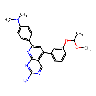 COC(C)Oc1cccc(-c2cc(-c3ccc(N(C)C)cc3)nc3nc(N)ncc23)c1